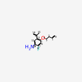 C=CCCOc1cc(F)c(N)cc1C(=C)C